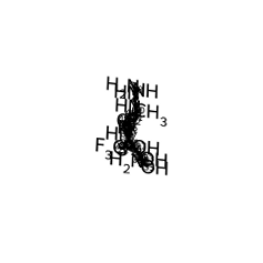 C[C@H](NCCCNC(=N)N)c1ccc(-n2cc3cc(-c4cc(SC(F)(F)F)cc([C@H](O)CCC(N)C(O)CO)c4)[nH]c3nc2=O)cc1